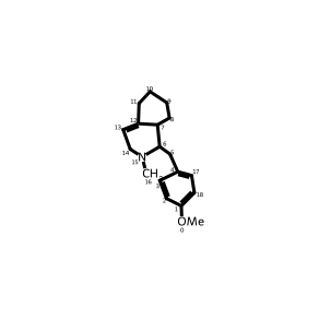 COc1ccc(CC2C3CCCCC3=CCN2C)cc1